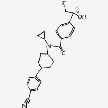 C[C@@](O)(CF)c1ccc(C(=O)N(C2CCC(c3ccc(C#N)cc3)CC2)C2CC2)cc1